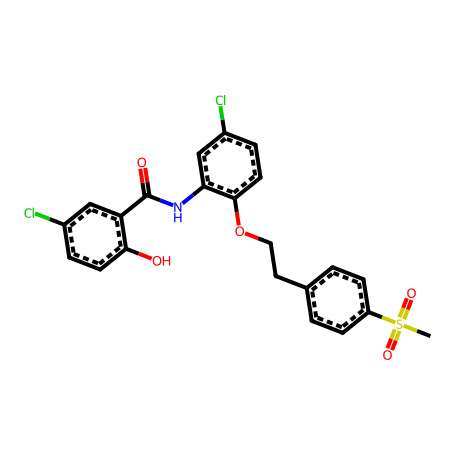 CS(=O)(=O)c1ccc(CCOc2ccc(Cl)cc2NC(=O)c2cc(Cl)ccc2O)cc1